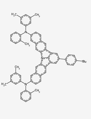 Cc1cc(C)cc(N(c2ccc3cc4c5cc(-c6ccc(C(C)(C)C)cc6)cc6c7cc8ccc(N(c9cc(C)cc(C)c9)c9ccccc9C)cc8cc7n(c4cc3c2)c56)c2ccccc2C)c1